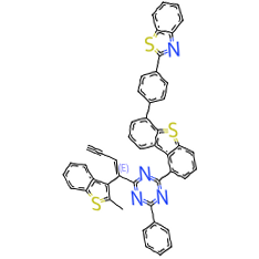 C#C/C=C(/c1nc(-c2ccccc2)nc(-c2cccc3sc4c(-c5ccc(-c6nc7ccccc7s6)cc5)cccc4c23)n1)c1c(C)sc2ccccc12